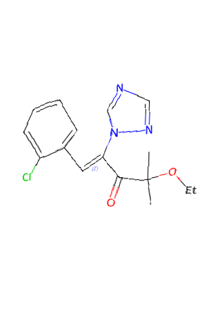 CCOC(C)(C)C(=O)/C(=C/c1ccccc1Cl)n1cncn1